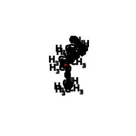 Cc1c(-c2ccc(N3CCc4cccc(C(=O)Nc5nc6ccccc6s5)c4C3)nc2C(=O)OC(C)(C)C)cnn1CC12CC3(C)CC(C)(C1)CC(OCCOCCNC(=O)OC(C)(C)C)(C3)C2